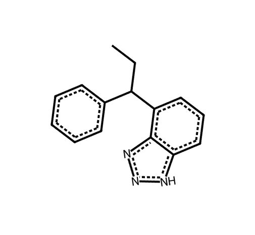 CCC(c1ccccc1)c1cccc2[nH]nnc12